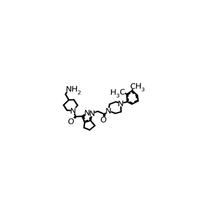 Cc1cccc(N2CCN(C(=O)Cn3nc(C(=O)N4CCC(CN)CC4)c4c3CCC4)CC2)c1C